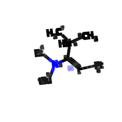 CC/C=C(/N(CC)C(C)(C)C)[SiH](C)C